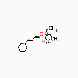 CC[Si](CC)(CC)OC=CC=CC1CCCCC1